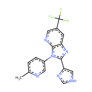 Cc1ccc(-n2c(-c3c[nH]cn3)nc3cc(C(F)(F)F)cnc32)cn1